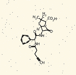 C#CCCC(=O)N[C@@H](C(=O)N[C@@H]1C(=O)N2[C@@H]1SC(C)(C)[C@@H]2C(=O)O)c1ccccc1